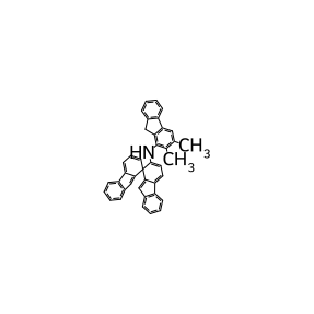 Cc1cc2c(c(NC3=CC=C4C(=Cc5ccccc54)C34C=CC=C3C4=Cc4ccccc43)c1C)Cc1ccccc1-2